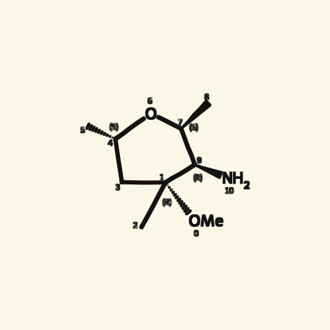 CO[C@]1(C)C[C@H](C)O[C@@H](C)[C@H]1N